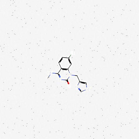 CNc1nc(=O)n(Cc2c[nH]cn2)c2cc(Cl)ccc12